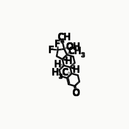 C#C[C@]1(O)C(F)(F)C[C@H]2[C@@H]3CCC4=CC(=O)CC[C@]4(C)[C@H]3CC[C@@]21C